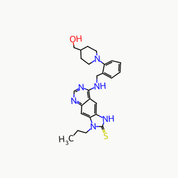 CCCn1c(=S)[nH]c2cc3c(NCc4ccccc4N4CCC(CO)CC4)ncnc3cc21